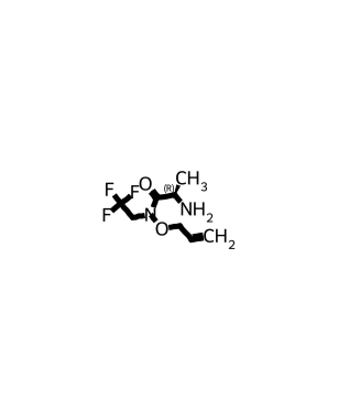 C=CCON(CC(F)(F)F)C(=O)[C@@H](C)N